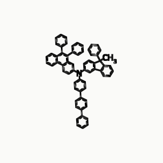 CC1(c2ccccc2)c2ccccc2-c2cc(N(c3ccc(-c4ccc(-c5ccccc5)cc4)cc3)c3ccc4c(c3)c(-c3ccccc3)c(-c3ccccc3)c3ccccc34)ccc21